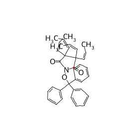 C/C=C\C1(/C=C\C)C(=O)N(OC(c2ccccc2)(c2ccccc2)c2ccccc2)C(=O)C1(/C=C\C)/C=C\C